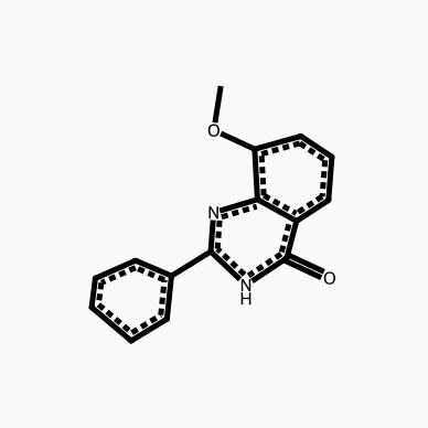 COc1cccc2c(=O)[nH]c(-c3ccccc3)nc12